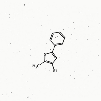 CCc1cc(-c2ccccc2)sc1C